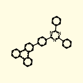 c1ccc(-c2nc(-c3ccccc3)nc(-c3ccc(-c4ccc5c6ccccc6c6ccccc6c5c4)cc3)n2)cc1